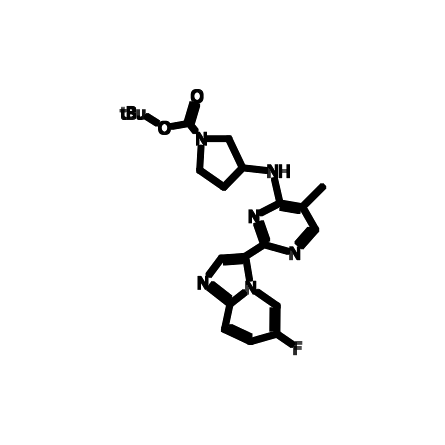 Cc1cnc(-c2cnc3ccc(F)cn23)nc1NC1CCN(C(=O)OC(C)(C)C)C1